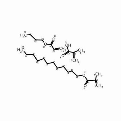 C=C(C)C(=O)O.C=C(C)C(=O)OCCCCCCCCCCCC.C=CC(=O)OCCCC